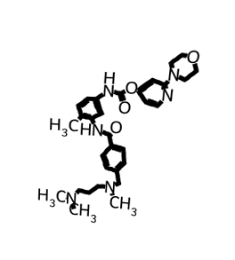 Cc1ccc(NC(=O)Oc2ccnc(N3CCOCC3)c2)cc1NC(=O)c1ccc(CN(C)CCCN(C)C)cc1